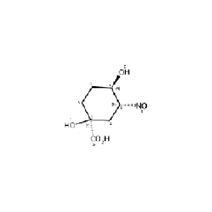 O=N[C@@H]1C[C@](O)(C(=O)O)CC[C@H]1O